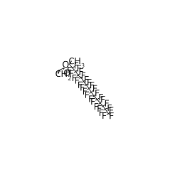 C=CC(=O)OC(C)C(F)(F)C(F)(F)C(F)(F)C(F)(F)C(F)(F)C(F)(F)C(F)(F)C(F)(F)C(F)(F)C(F)(F)C(F)(F)C(F)(F)C(F)(F)C(F)(F)F